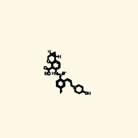 O=C(O)c1c(N[S+]([O-])c2ccc(F)cc2/C=C\CN2CCC(O)CC2)ccc2c1OC[C@@H]1C[C@H]21